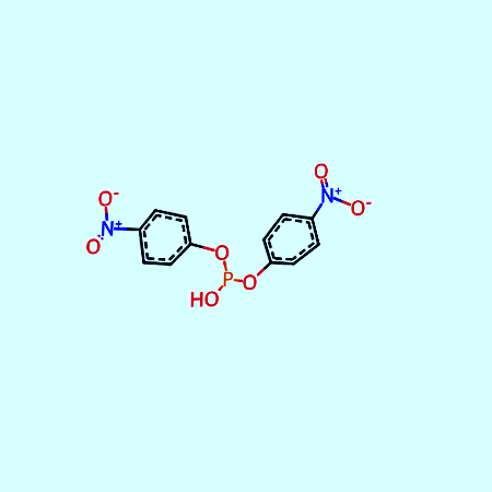 O=[N+]([O-])c1ccc(OP(O)Oc2ccc([N+](=O)[O-])cc2)cc1